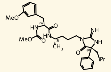 COC(=O)N[C@@H](Cc1cccc(OC)c1)C(=O)N[C@@H](C)CCCN1C(=N)N[C@](CC(C)C)(c2ccccc2)C1=O